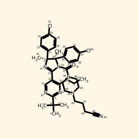 CCOc1nc(C(C)(C)C)ncc1C1=N[C@@](C)(c2ccc(Cl)cc2)[C@@](C)(c2ccc(Cl)cc2)N1C(=O)N1CCN(CCCC#N)CC1